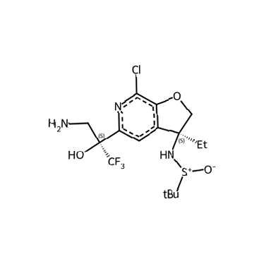 CC[C@@]1(N[S+]([O-])C(C)(C)C)COc2c1cc([C@@](O)(CN)C(F)(F)F)nc2Cl